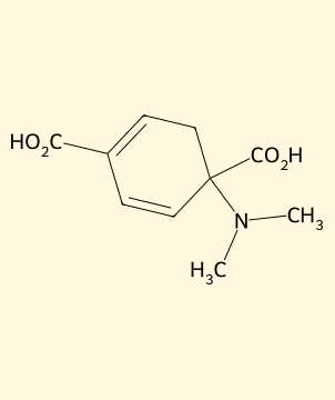 CN(C)C1(C(=O)O)C=CC(C(=O)O)=CC1